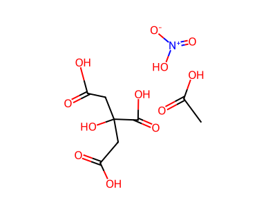 CC(=O)O.O=C(O)CC(O)(CC(=O)O)C(=O)O.O=[N+]([O-])O